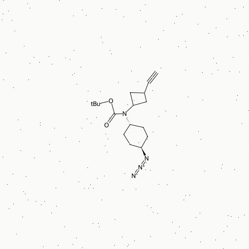 C#CC1CC(N(C(=O)OC(C)(C)C)[C@H]2CC[C@H](N=[N+]=[N-])CC2)C1